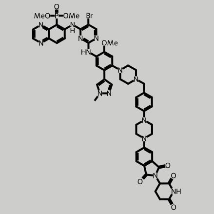 COc1cc(N2CCN(Cc3ccc(N4CCN(c5ccc6c(c5)C(=O)N(C5CCC(=O)NC5=O)C6=O)CC4)cc3)CC2)c(-c2cnn(C)c2)cc1Nc1ncc(Br)c(Nc2ccc3nccnc3c2P(=O)(OC)OC)n1